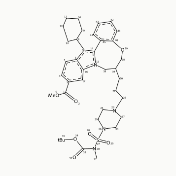 COC(=O)c1ccc2c(C3CCCCC3)c3n(c2c1)CC(CCCN1CCN(S(=O)(=O)N(C)C(=O)OC(C)(C)C)CC1)COc1ccccc1-3